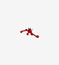 C=[N+]1/C(=N\C)c2cc(-c3cccc(CCCCCCc4ccccc4)c3)ccc2C12[n+]1ccc(-c3ccccc3)cc1-c1cc(-c3cccc(CCCCCCc4ccccc4)c3)ccc1C2(CC)CC